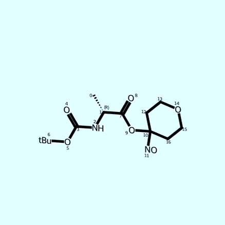 C[C@@H](NC(=O)OC(C)(C)C)C(=O)OC1(N=O)CCOCC1